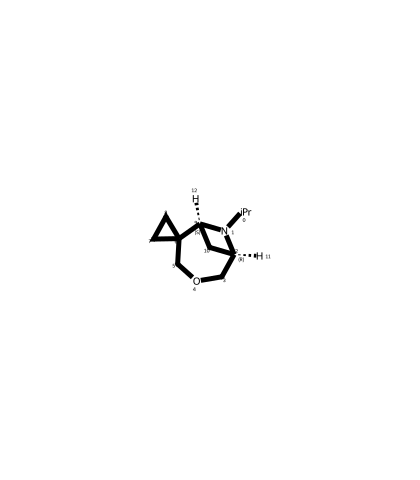 CC(C)N1[C@H]2COCC3(CC3)[C@@H]1C2